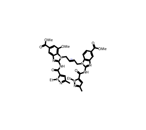 CCn1nc(C)cc1C(=O)Nc1nc2cc(C(=O)OC)ccc2n1C/C=C/Cn1c(NC(=O)c2cc(C)nn2CC)nc2cc(C(=O)OC)cc(OC)c21